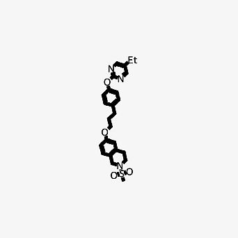 CCc1cnc(Oc2ccc(CCCOc3ccc4c(c3)CCN(S(C)(=O)=O)C4)cc2)nc1